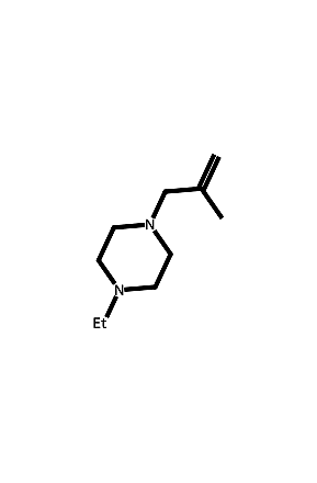 C=C(C)CN1CCN(CC)CC1